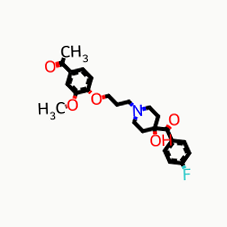 COc1cc(C(C)=O)ccc1OCCCN1CCC(O)(C(=O)c2ccc(F)cc2)CC1